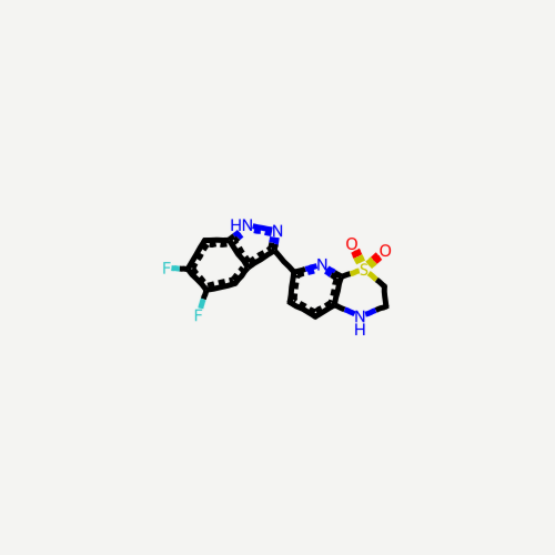 O=S1(=O)CCNc2ccc(-c3n[nH]c4cc(F)c(F)cc34)nc21